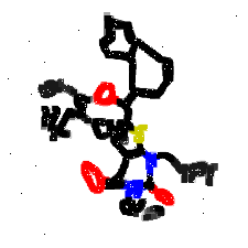 CC(C)Cn1c(=O)n(C)c(=O)c2cc(C(O[Si](C)(C)C(C)(C)C)c3cccc4ccccc34)sc21